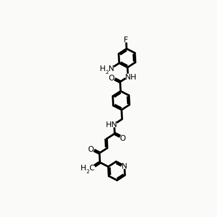 C=C(C(=O)/C=C/C(=O)NCc1ccc(C(=O)Nc2ccc(F)cc2N)cc1)c1cccnc1